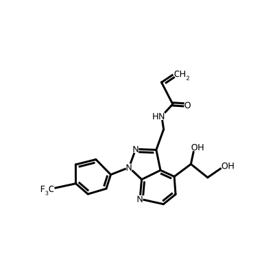 C=CC(=O)NCc1nn(-c2ccc(C(F)(F)F)cc2)c2nccc(C(O)CO)c12